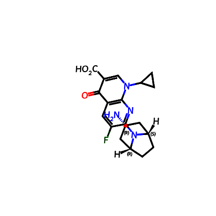 N[C@H]1C[C@H]2CC[C@@H](C1)N2c1nc2c(cc1F)c(=O)c(C(=O)O)cn2C1CC1